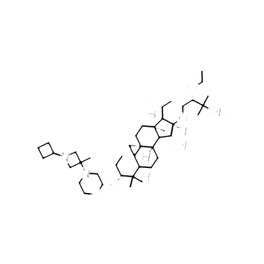 CCO[C@@H]([C@H]1C[C@@H](C)[C@H]2[C@H](O1)[C@H](O)[C@@]1(C)[C@@H]3CC[C@H]4C(C)(C)[C@@H](O[C@H]5CN(C6(C)CN(C7CCC7)C6)CCO5)CC[C@@]45C[C@@]35CC[C@]21C)C(C)(C)O